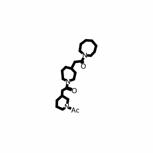 CC(=O)N1CCCC(CC(=O)N2CCCC(CC(=O)N3CCCCCCC3)CC2)C1